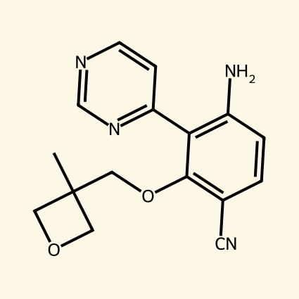 CC1(COc2c(C#N)ccc(N)c2-c2ccncn2)COC1